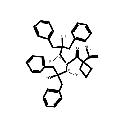 CC(C)[C@@H](N(C(=O)C1(C(N)=O)CCC1)[C@H](C(C)C)C(O)(Cc1ccccc1)Cc1ccccc1)C(O)(Cc1ccccc1)Cc1ccccc1